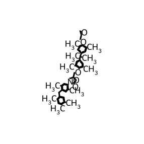 Cc1cc(C)c(Cc2cc(C)c(N3CC(COc4c(C)cc(C(C)(C)c5cc(C)c(OCC6CO6)c(C)c5)cc4C)OC3=O)cc2C)cc1C